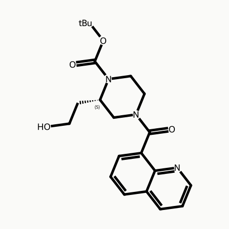 CC(C)(C)OC(=O)N1CCN(C(=O)c2cccc3cccnc23)C[C@@H]1CCO